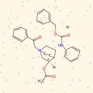 CC(=O)O[C@H]1C[N+]2(CC(=O)c3ccccc3)CCC1CC2.O=C(Nc1ccccc1)OCc1ccccc1.[Br-]